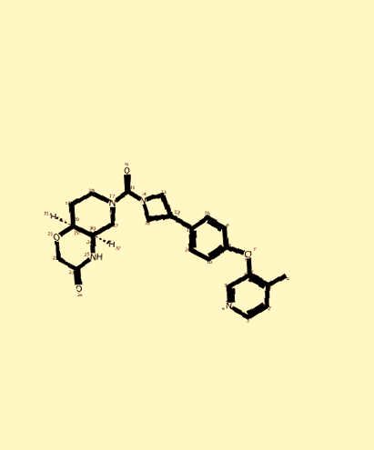 Cc1ccncc1Oc1ccc(C2CN(C(=O)N3CC[C@@H]4OCC(=O)N[C@@H]4C3)C2)cc1